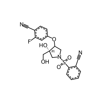 N#Cc1ccc(OC2CN(S(=O)(=O)c3ccccc3C#N)C[C@@]2(O)CO)cc1F